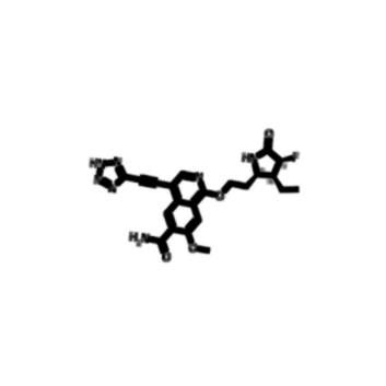 CC[C@@H]1[C@H](F)C(=O)N[C@@H]1CCOc1ncc(C#Cc2nn[nH]n2)c2cc(C(N)=O)c(OC)cc12